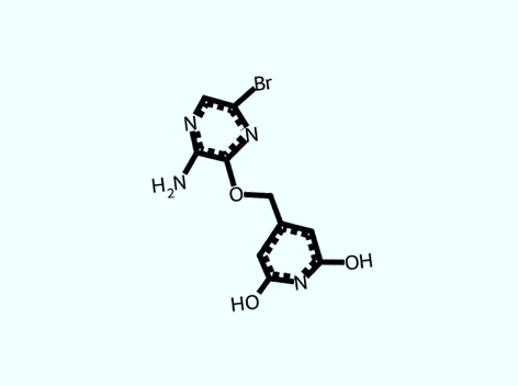 Nc1ncc(Br)nc1OCc1cc(O)nc(O)c1